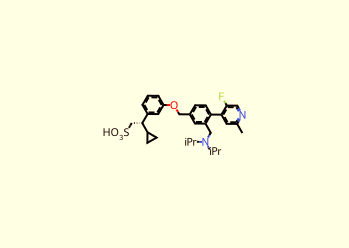 Cc1cc(-c2ccc(COc3cccc([C@@H](CS(=O)(=O)O)C4CC4)c3)cc2CN(C(C)C)C(C)C)c(F)cn1